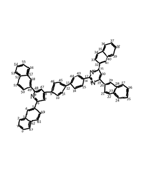 c1ccc2cc(-c3cc(-c4ccc(-c5ccc(-c6nc(-c7ccc8ccccc8c7)cc(-c7ccc8ccccc8c7)n6)cc5)cc4)cc(-c4ccc5ccccc5c4)n3)ccc2c1